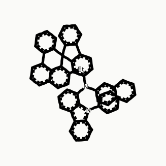 CCc1ccc2cccc3c2c1C1(c2ccccc2-c2ccc(N(c4ccc5ccccc5c4)c4cccc5c6ccccc6n(-c6ccccc6)c45)cc21)c1ccccc1-3